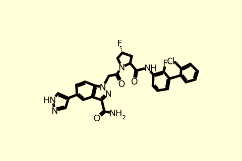 NC(=O)c1nn(CC(=O)N2C[C@H](F)CC2C(=O)Nc2cccc(-c3ccccc3Cl)c2F)c2ccc(-c3cn[nH]c3)cc12